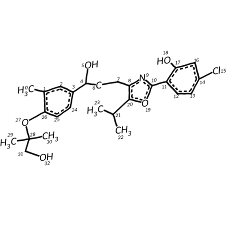 Cc1cc(C(O)CCc2nc(-c3ccc(Cl)cc3O)oc2C(C)C)ccc1OC(C)(C)CO